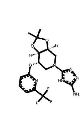 CC1(C)O[C@@H]2[C@@H](Oc3cccc(C(F)(F)F)n3)CN(c3nnc(N)[nH]3)C[C@@H]2O1